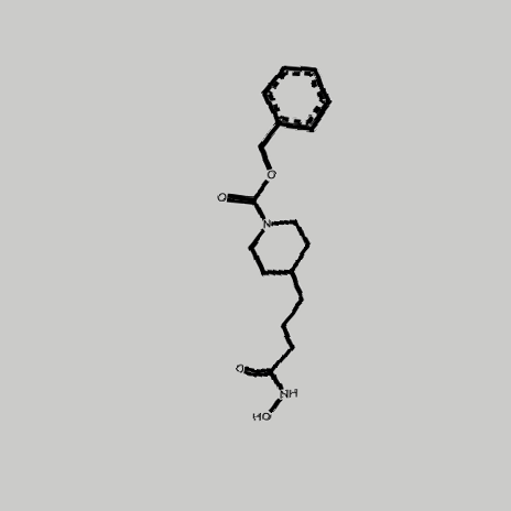 O=C(CCCC1CCN(C(=O)OCc2ccccc2)CC1)NO